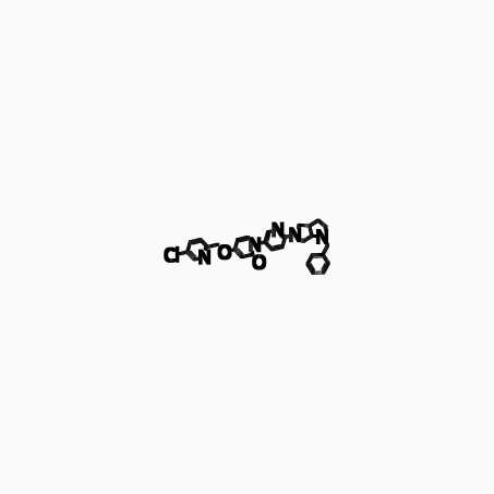 O=c1cc(OCc2ccc(Cl)cn2)ccn1-c1ccc(N2CC3CCN(Cc4ccccc4)C3C2)nc1